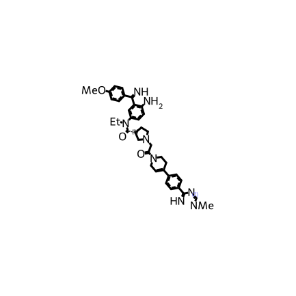 CCN(C(=O)[C@@H]1CCN(CC(=O)N2CC=C(c3ccc(C(=N)/N=C\NC)cc3)CC2)C1)c1ccc(N)c(C(=N)c2ccc(OC)cc2)c1